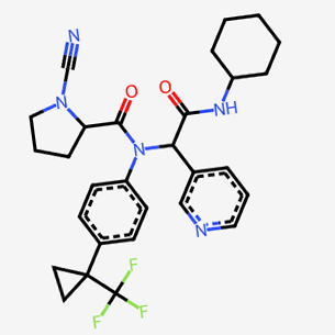 N#CN1CCCC1C(=O)N(c1ccc(C2(C(F)(F)F)CC2)cc1)C(C(=O)NC1CCCCC1)c1cccnc1